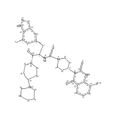 Cc1cc(CC(NC(=O)N2CCC(n3c(=O)[nH]c4c(F)cccc4c3=O)CC2)C(=O)N2CCC(N3CCCCC3)CC2)cc2cn[nH]c12